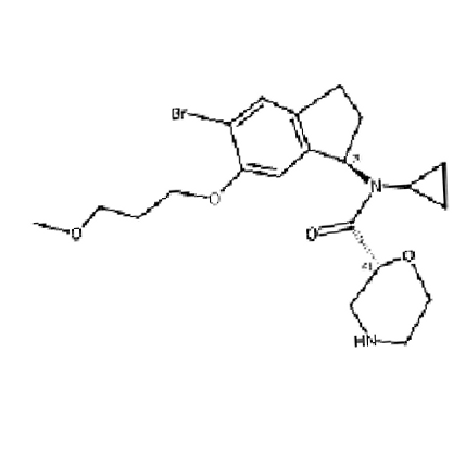 COCCCOc1cc2c(cc1Br)CC[C@H]2N(C(=O)[C@H]1CNCCO1)C1CC1